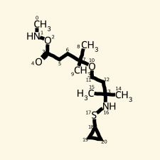 CNOC(=O)CCC(C)(C)OCCC(C)(C)NSC1CC1